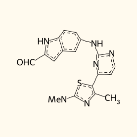 CNc1nc(C)c(-c2ccnc(Nc3ccc4[nH]c(C=O)cc4c3)n2)s1